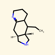 CCC1C2CCCN=C2C[C@@H]2CNC[C@@H]12